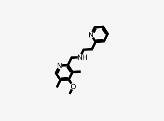 COc1c(C)cnc(CNCCc2ccccn2)c1C